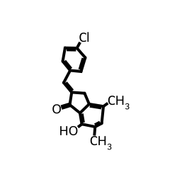 Cc1cc(C)c2c(c1O)C(=O)C(=Cc1ccc(Cl)cc1)C2